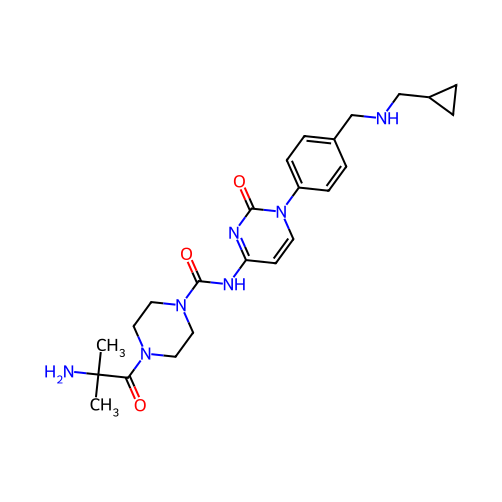 CC(C)(N)C(=O)N1CCN(C(=O)Nc2ccn(-c3ccc(CNCC4CC4)cc3)c(=O)n2)CC1